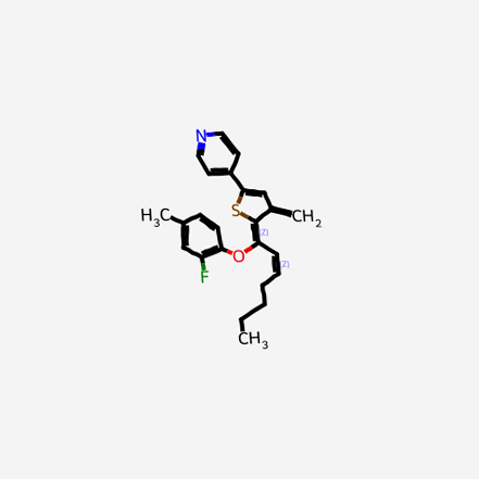 C=c1cc(-c2ccncc2)s/c1=C(/C=C\CCCC)Oc1ccc(C)cc1F